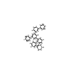 c1cc(-c2cncnc2)cc(-c2cc(-c3cncnc3)cc(-c3cccc4c3-c3ccccc3C43CCCCC3)c2)c1